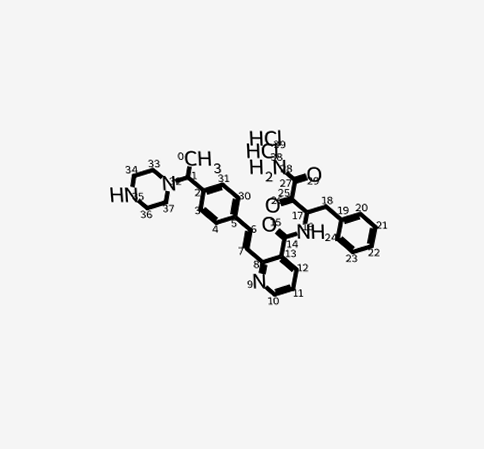 CC(c1ccc(C=Cc2ncccc2C(=O)NC(Cc2ccccc2)C(=O)C(N)=O)cc1)N1CCNCC1.Cl.Cl